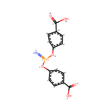 N=[PH](Oc1ccc(C(=O)O)cc1)Oc1ccc(C(=O)O)cc1